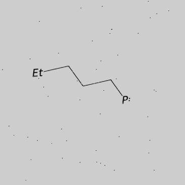 CCCCC[P]